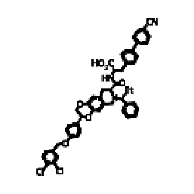 CC[C@@H](c1ccccc1)N1Cc2cc3c(cc2C[C@H]1C(=O)N[C@@H](Cc1ccc(-c2ccc(C#N)cc2)cc1)C(=O)O)OC[C@H](c1ccc(OCc2ccc(Cl)c(Cl)c2)cc1)O3